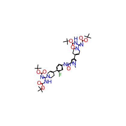 Cn1cc(C2=CCN(/C(=N/C(=O)OC(C)(C)C)NC(=O)OC(C)(C)C)CC2)cc1C(=O)Nc1ccc(C2=CCN(/C(=N\C(=O)OC(C)(C)C)NC(=O)OC(C)(C)C)CC2)c(F)c1